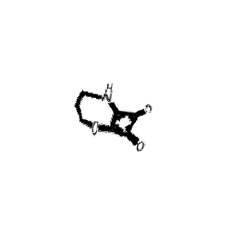 O=c1c2c(c1=O)OCCCN2